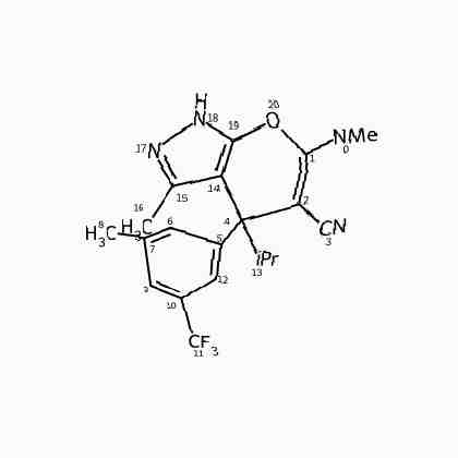 CNC1=C(C#N)C(c2cc(C)cc(C(F)(F)F)c2)(C(C)C)c2c(C)n[nH]c2O1